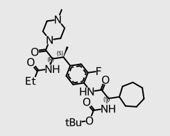 CCC(=O)N[C@@H](C(=O)N1CCN(C)CC1)[C@@H](C)c1ccc(NC(=O)[C@@H](NC(=O)OC(C)(C)C)C2CCCCCC2)c(F)c1